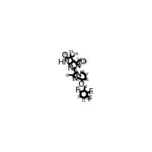 Cc1nc2c(OCc3c(F)ccc(F)c3F)cccn2c1-c1nc(C=O)c2c(n1)NC(=O)C2(C)C